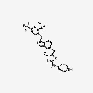 CN(C1=NC(=O)C(=Cc2ccc3c(cnn3Cc3ccc(C(F)(F)F)cc3C(F)(F)F)c2)S1)C1CCNCC1